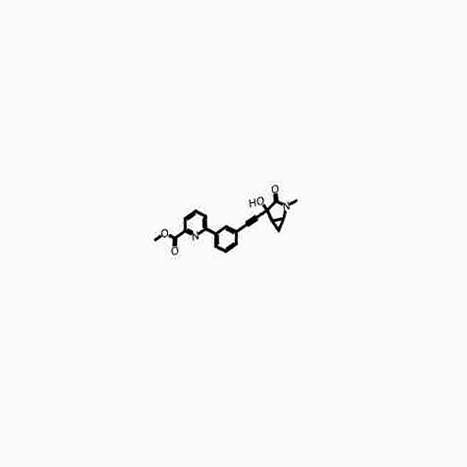 COC(=O)c1cccc(-c2cccc(C#CC3(O)C(=O)N(C)C4CC43)c2)n1